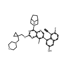 C#Cc1c(F)ccc2cc(O)cc(-c3cnc4c(N5CC6CCC(C5)N6)nc(OCC5(CN6CCOCC6)CC5)nc4c3F)c12